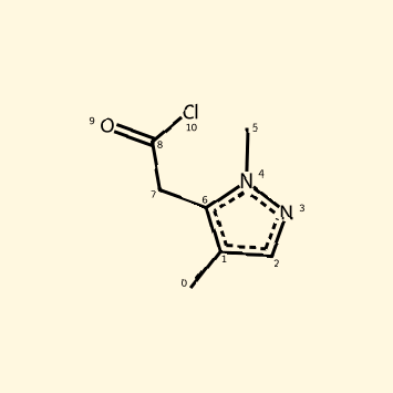 Cc1cnn(C)c1CC(=O)Cl